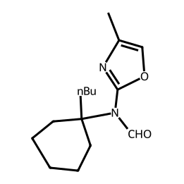 CCCCC1(N(C=O)c2nc(C)co2)CCCCC1